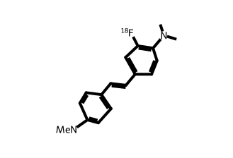 CNc1ccc(/C=C/c2ccc(N(C)C)c([18F])c2)cc1